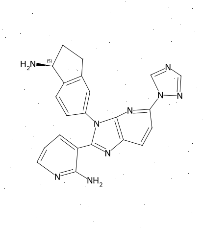 Nc1ncccc1-c1nc2ccc(-n3cncn3)nc2n1-c1ccc2c(c1)CC[C@@H]2N